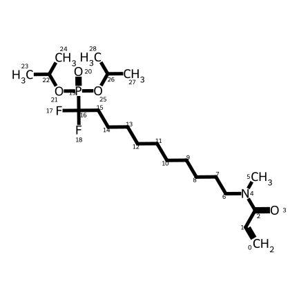 C=CC(=O)N(C)CCCCCCCCCCC(F)(F)P(=O)(OC(C)C)OC(C)C